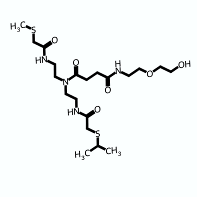 CSCC(=O)NCCN(CCNC(=O)CSC(C)C)C(=O)CCC(=O)NCCOCCO